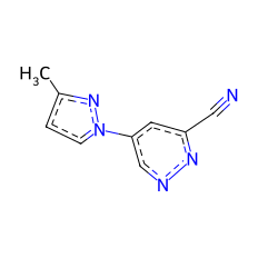 Cc1ccn(-c2cnnc(C#N)c2)n1